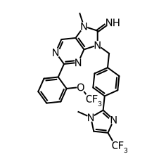 Cn1cc(C(F)(F)F)nc1-c1ccc(Cn2c(=N)n(C)c3cnc(-c4ccccc4OC(F)(F)F)nc32)cc1